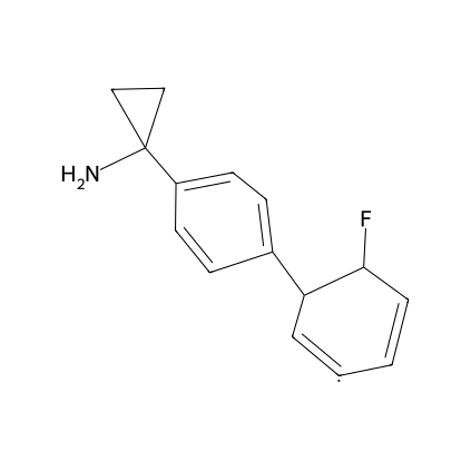 NC1(c2ccc(C3C=[C]C=CC3F)cc2)CC1